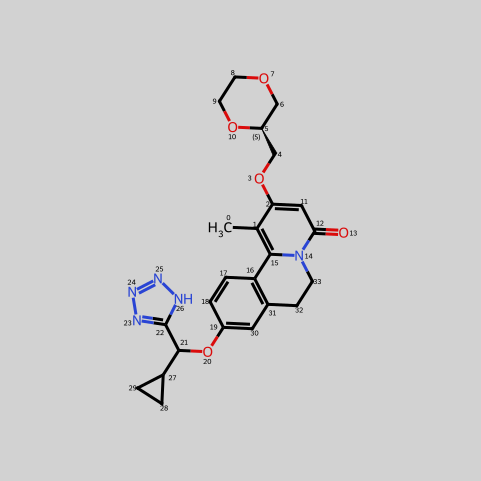 Cc1c(OC[C@@H]2COCCO2)cc(=O)n2c1-c1ccc(OC(c3nnn[nH]3)C3CC3)cc1CC2